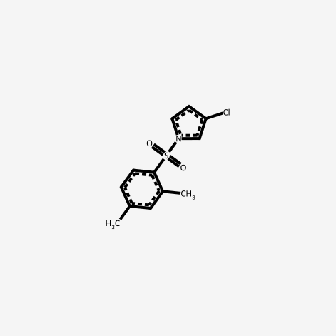 Cc1ccc(S(=O)(=O)n2ccc(Cl)c2)c(C)c1